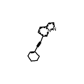 C(#Cc1ccc2ccnn2c1)C1=CCCCC1